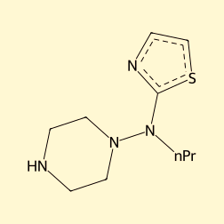 CCCN(c1nccs1)N1CCNCC1